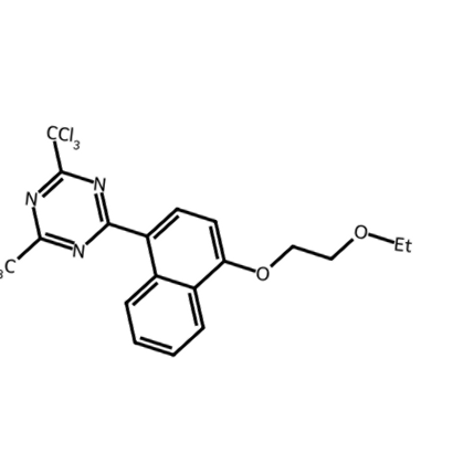 CCOCCOc1ccc(-c2nc(C(Cl)(Cl)Cl)nc(C(Cl)(Cl)Cl)n2)c2ccccc12